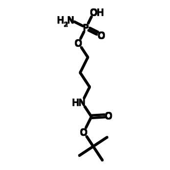 CC(C)(C)OC(=O)NCCCOP(N)(=O)O